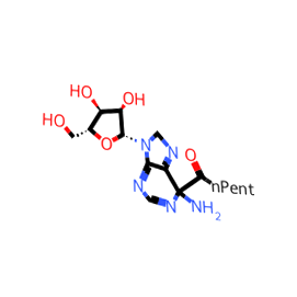 CCCCCC(=O)C1(N)N=CN=C2C1=NCN2[C@@H]1O[C@H](CO)[C@@H](O)[C@H]1O